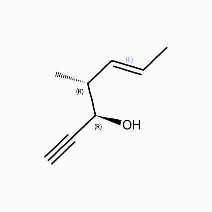 C#C[C@H](O)[C@H](C)/C=C/C